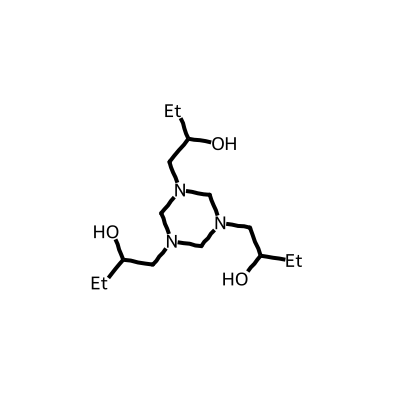 CCC(O)CN1CN(CC(O)CC)CN(CC(O)CC)C1